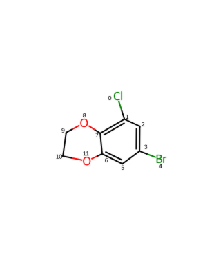 Clc1cc(Br)cc2c1OCCO2